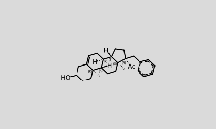 CC(=O)[C@@]1(Cc2ccccc2)CC[C@H]2[C@@H]3CC=C4CC(O)CC[C@]4(C)[C@H]3CC[C@@]21C